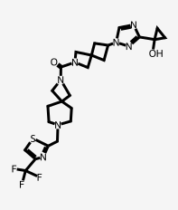 O=C(N1CC2(CCN(Cc3nc(C(F)(F)F)cs3)CC2)C1)N1CC2(CC(n3cnc(C4(O)CC4)n3)C2)C1